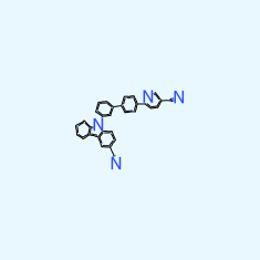 N#Cc1ccc(-c2ccc(-c3cccc(-n4c5ccccc5c5cc(C#N)ccc54)c3)cc2)nc1